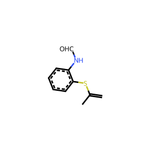 C=C(C)Sc1ccccc1NC=O